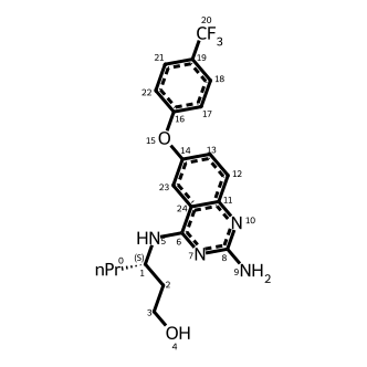 CCC[C@@H](CCO)Nc1nc(N)nc2ccc(Oc3ccc(C(F)(F)F)cc3)cc12